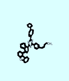 C/C=C\C=C/c1ccc(-c2nc(-c3ccc(-c4ccccc4)cc3)nc(-c3ccc(C4=CCCc5oc6ccccc6c54)c4ccccc34)n2)cc1